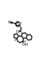 C[C@@]12CCC[C@@]1(C)C1C(C3CCCCC3C[C@@H]1C(=O)Cn1cc(C#N)cn1)[C@](C)(O)CC2